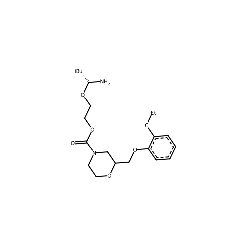 CCOc1ccccc1OCC1CN(C(=O)OCCOC(N)[C@@H](C)CC)CCO1